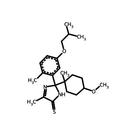 COC1CCC(C)(C2(c3cc(OCC(C)C)ccc3C)N=C(C)C(=S)N2)CC1